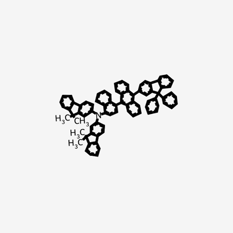 CC1(C)c2ccccc2-c2ccc(N(c3ccc4c(c3)C(C)(C)c3ccccc3-4)c3ccc(-c4c5ccccc5c(-c5ccc6c(c5)C(c5ccccc5)(c5ccccc5)c5ccccc5-6)c5ccccc45)c4ccccc34)cc21